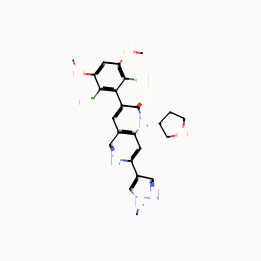 COc1cc(OC)c(Cl)c(-c2cc3cnc(-c4cnn(C)c4)cc3n([C@@H]3CCOC3)c2=O)c1Cl